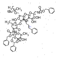 C[C@H]1[C@@H](O[C@H]2[C@@H](OC/C=C/c3ccccc3)[C@H](O[C@@H]3[C@@H](O)[C@H](C)C[C@H](NC(=O)OCc4ccccc4)[C@H]3O[C@H]3O[C@@H]4COC(c5ccccc5)O[C@H]4[C@H](O)[C@H]3C)O[C@@H]2CO[Si](C)(C)C(C)(C)C)O[C@@H](CNC(=O)OCc2ccccc2)[C@@H](O)[C@@H]1O